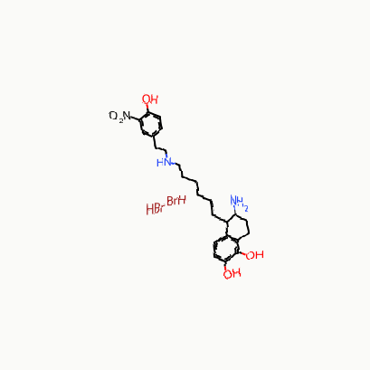 Br.Br.NC1CCc2c(ccc(O)c2O)C1CCCCCCNCCc1ccc(O)c([N+](=O)[O-])c1